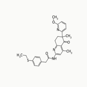 CCSc1ccc(CC(=O)Nc2cc(C)c3c(n2)CCC(C)(c2cccc(OC)n2)C3=O)cc1